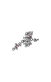 COC(=O)NC(C(=O)N[C@@H](Cc1ccc(-c2ccc(N3C[C@H]4C[C@@H]3CN4C3COC3)nc2)cc1)[C@@H](O)CN(NC(=O)[C@@H](NC(=O)OC)C(C)(C)C(F)(F)F)c1c(F)cc(-c2ccn(C3CC3)n2)cc1F)C(C)(C)C(F)(F)F